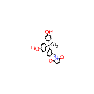 CC(c1ccc(O)cc1)(c1ccc(O)cc1)c1cccc(CN2C(=O)C=CC2=O)c1